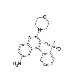 CS(=O)(=O)c1ccccc1-c1cc(N2CCOCC2)nc2ccc(N)cc12